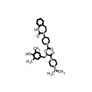 Cc1cc(C[C@@H](OC(=O)N2CCC(N3CCc4ccccc4NC3=O)CC2)C(=O)N2CCN(N(C)C)CC2)cc(C)c1O